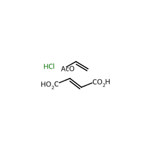 C=COC(C)=O.Cl.O=C(O)C=CC(=O)O